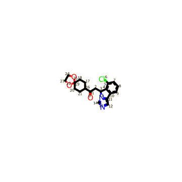 O=C(CC1c2c(Cl)cccc2-c2cncn21)C1CCC2(CC1)OCCO2